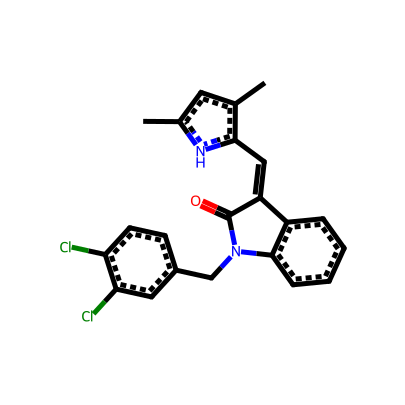 Cc1cc(C)c(/C=C2\C(=O)N(Cc3ccc(Cl)c(Cl)c3)c3ccccc32)[nH]1